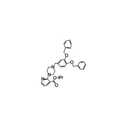 CC(C)OC(=O)c1cccnc1N1CCN(Cc2ccc(OCc3ccccc3)c(OCc3ccccc3)c2)CC1